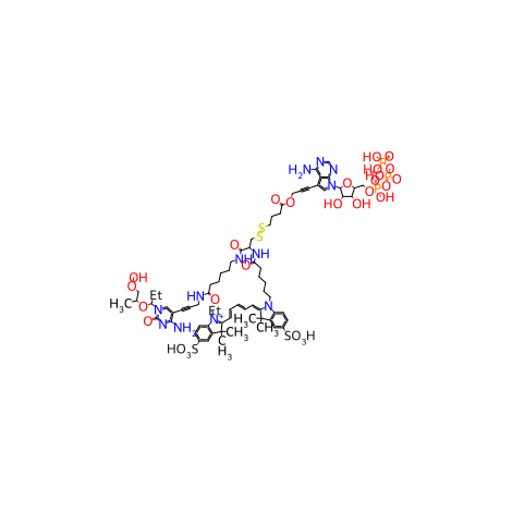 CCC(OC(C)COO)n1cc(C#CCNC(=O)CCCCCNC(=O)C(CSSCCCC(=O)OCC#Cc2cn(C3OC(COP(=O)(O)OP(=O)(O)OP(=O)(O)O)C(O)C3O)c3ncnc(N)c23)NC(=O)CCCCCN2/C(=C/C=C/C=C/C3=[N+](CC)c4ccc(S(=O)(=O)O)cc4C3(C)C)C(C)(C)c3cc(S(=O)(=O)O)ccc32)c(N)nc1=O